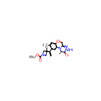 C=C(c1cc2c(cc1C(F)(F)F)OCC1=NNC(=O)[C@@H](C)N12)C1(C)CN(C(=O)OC(C)(C)C)C1